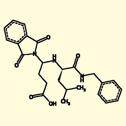 CC(C)C[C@H](NC(CCC(=O)O)N1C(=O)c2ccccc2C1=O)C(=O)NCc1ccccc1